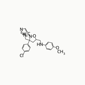 COc1ccc(NCC2CC(Cn3ccnc3)(c3ccc(Cl)cc3)N(C)O2)cc1